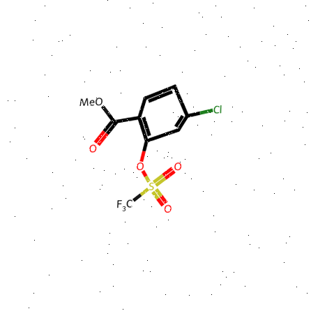 COC(=O)c1ccc(Cl)cc1OS(=O)(=O)C(F)(F)F